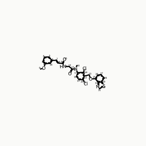 COc1cccc(C=CC(=O)NCC(=O)N(C)c2ccc(Cl)c(COc3cccc4scnc34)c2Cl)c1